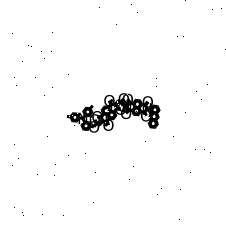 Cc1ccc(N(c2ccc(C)cc2)c2cccc(OC(=O)CN3C(=O)c4ccc5c6c(ccc(c46)C3=O)C(=O)N(CC(=O)ON3C(=O)c4ccc6c7c(ccc(c47)C3=O)C(=O)N(c3cccc4cc7ccccc7cc34)C6=O)C5=O)c2)cc1